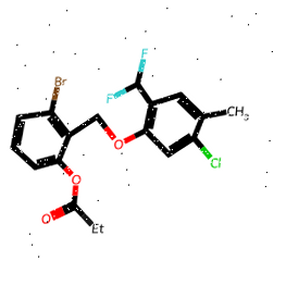 CCC(=O)Oc1cccc(Br)c1COc1cc(Cl)c(C)cc1C(F)F